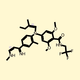 CC/C(C)=C\N(c1cc(OC)c(C(=O)NCC(F)(F)F)c(OC)c1)c1ccc(C(=N)/C=C\NC)cc1C